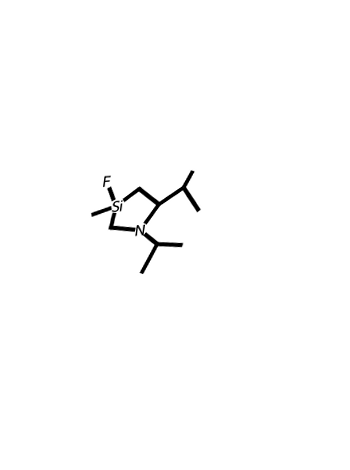 CC(C)C1C[Si](C)(F)CN1C(C)C